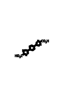 O=C(O)c1ncc(-c2ccc(-c3cnc(C(=O)O)nc3)cc2)cn1